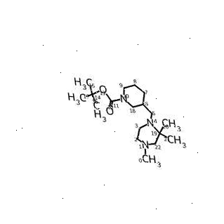 CN1CCN(CC2CCCN(C(=O)OC(C)(C)C)C2)C(C)(C)C1